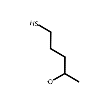 CC([O])CCCS